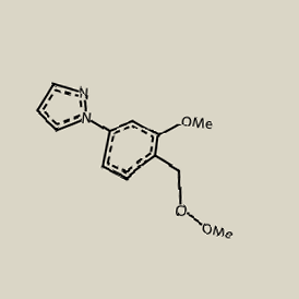 COOCc1ccc(-n2cccn2)cc1OC